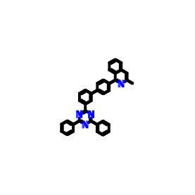 Cc1cc2ccccc2c(-c2ccc(-c3cccc(-c4nc(-c5ccccc5)nc(-c5ccccc5)n4)c3)cc2)n1